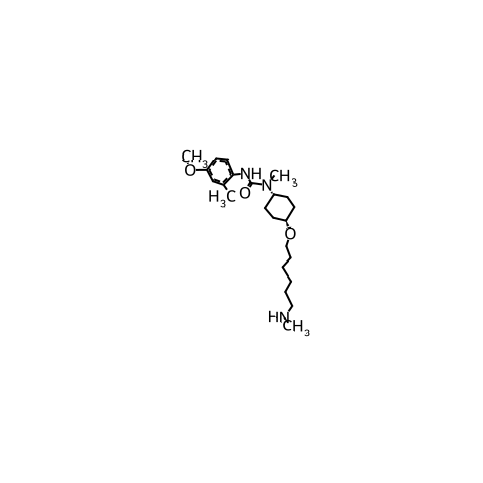 CNCCCCCCO[C@H]1CC[C@H](N(C)C(=O)Nc2ccc(OC)cc2C)CC1